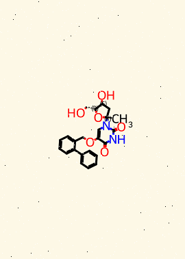 C[C@]1(n2cc(OCc3ccccc3-c3ccccc3)c(=O)[nH]c2=O)C[C@H](O)[C@@H](CO)O1